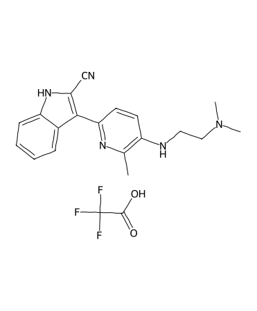 Cc1nc(-c2c(C#N)[nH]c3ccccc23)ccc1NCCN(C)C.O=C(O)C(F)(F)F